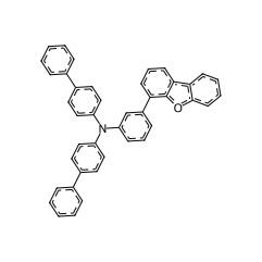 c1ccc(-c2ccc(N(c3ccc(-c4ccccc4)cc3)c3cccc(-c4cccc5c4oc4ccccc45)c3)cc2)cc1